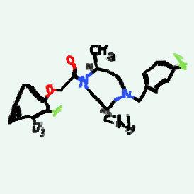 C[C@@H]1CN(C(=O)COc2cccc(C(F)(F)F)c2F)[C@@H](C)CN1Cc1ccc(F)cc1